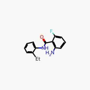 CCc1ccccc1NC(=O)c1c(N)cccc1F